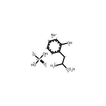 NC(Cc1ccccc1O)C(=O)O.O=P([O-])(O)O.[Na+]